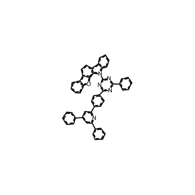 c1ccc(-c2cc(-c3ccccc3)nc(-c3ccc(-c4nc(-c5ccccc5)nc(-n5c6ccccc6c6ccc7c8ccccc8oc7c65)n4)cc3)c2)cc1